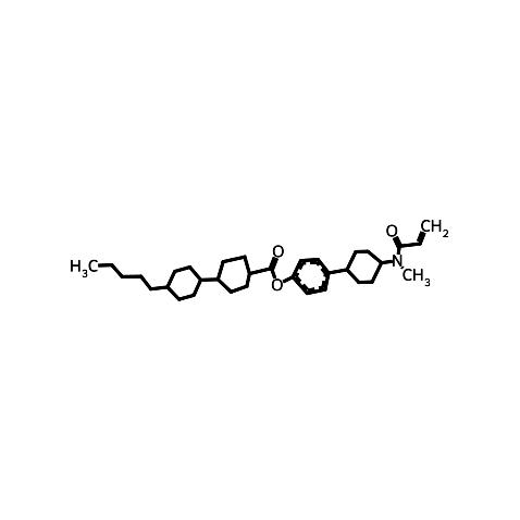 C=CC(=O)N(C)C1CCC(c2ccc(OC(=O)C3CCC(C4CCC(CCCCC)CC4)CC3)cc2)CC1